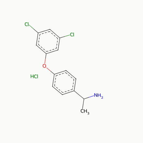 CC(N)c1ccc(Oc2cc(Cl)cc(Cl)c2)cc1.Cl